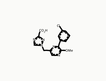 COc1ncc(Cn2cnc(C(=O)O)n2)nc1-c1cccc(Cl)c1